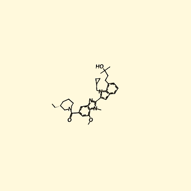 CC[C@@H]1CCCN(C(=O)c2cc(OC)c3c(c2)nc(-c2cc4cccc(CCC(C)(C)O)c4n2CC2CC2)n3C)C1